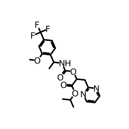 COc1cc(C(F)(F)F)ccc1C(C)NC(=O)OC(Cc1ncccn1)C(=O)OC(C)C